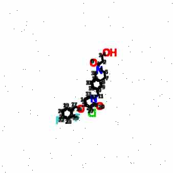 O=C(CCO)N1CCc2cc(Cn3ccc(OCc4ccc(F)cc4F)c(Cl)c3=O)ccc2C1